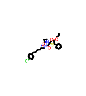 C=CCOC(=O)C(SC(C)(C(=O)NCCCCCCc1ccc(Cl)cc1)N1CCC1=O)c1ccccc1